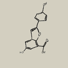 O=C(O)c1cc(O)cc2cc(-c3ccc(O)cc3)oc12